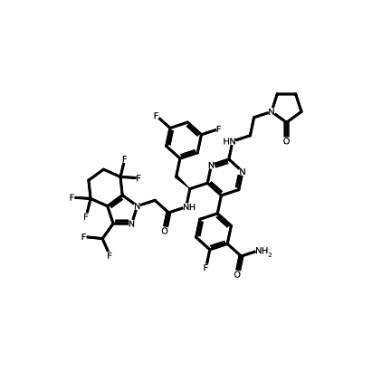 NC(=O)c1cc(-c2cnc(NCCN3CCCC3=O)nc2[C@H](Cc2cc(F)cc(F)c2)NC(=O)Cn2nc(C(F)F)c3c2C(F)(F)CCC3(F)F)ccc1F